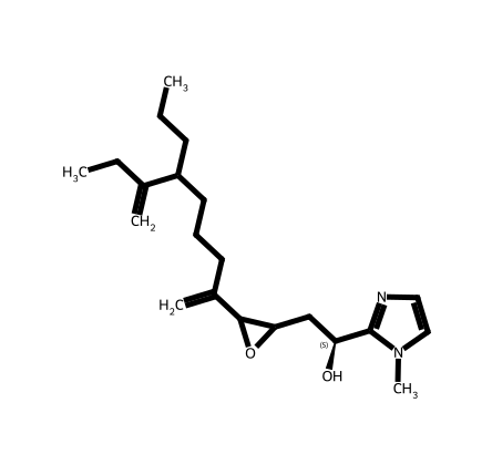 C=C(CC)C(CCC)CCCC(=C)C1OC1C[C@H](O)c1nccn1C